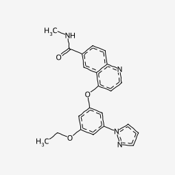 CCOc1cc(Oc2ccnc3ccc(C(=O)NC)cc23)cc(-n2cccn2)c1